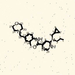 CCCN(CC1CC1)C1C=C(C(=O)Nc2ccc(CN3CCOCC3)cc2C)N=CN1